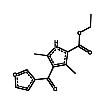 CCOC(=O)c1[nH]c(C)c(C(=O)c2ccoc2)c1C